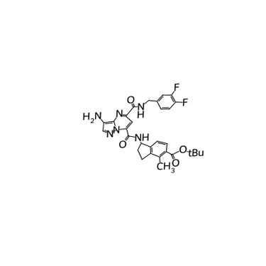 Cc1c(C(=O)OC(C)(C)C)ccc2c1CC[C@@H]2NC(=O)c1cc(C(=O)NCc2ccc(F)c(F)c2)nc2c(N)cnn12